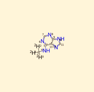 [2H]C([2H])([2H])Nc1ncnc2[nH]cnc12